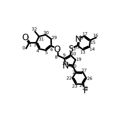 CC(=O)C1=CC=C(OCC2=C(Sc3ccc(C)cn3)CC(c3ccc(F)cc3)=N2)CCC1C